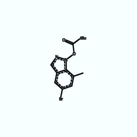 Cc1cc(Br)cc2cnn(OC(=O)C(C)(C)C)c12